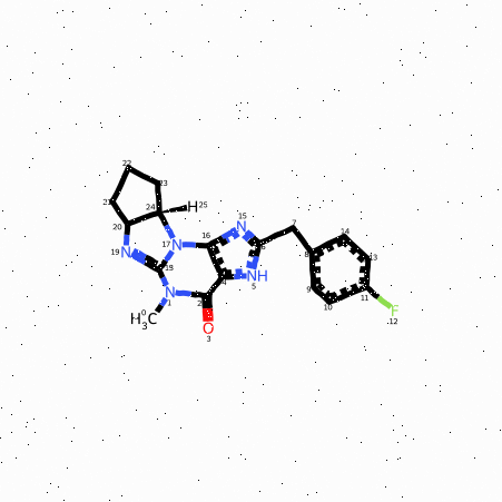 CN1C(=O)c2[nH]c(Cc3ccc(F)cc3)nc2N2C1=NC1CCC[C@@H]12